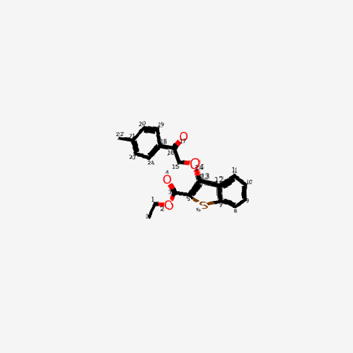 CCOC(=O)c1sc2ccccc2c1OCC(=O)c1ccc(C)cc1